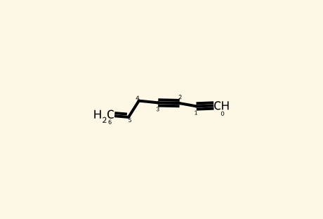 C#CC#CCC=C